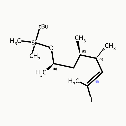 C/C(I)=C\[C@@H](C)[C@H](C)C[C@@H](C)O[Si](C)(C)C(C)(C)C